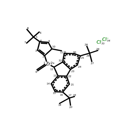 [CH2]=[Zr+2]([C]1=CC(C(C)(C)C)=CC1C)[CH]1c2ccc(C(C)(C)C)cc2-c2cc(C(C)(C)C)ccc21.[Cl-].[Cl-]